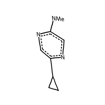 CNc1cnc(C2CC2)cn1